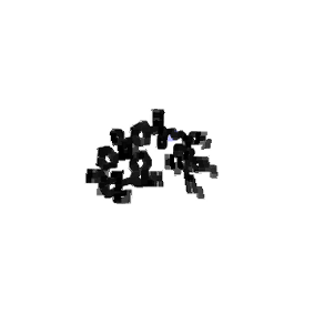 CN(C/C=C/C(=O)Nc1ccc(C(=O)Nc2cccc(Nc3ncc(Cl)c(-c4c[nH]c5ccccc45)n3)c2)cc1)C(=O)OC(C)(C)C